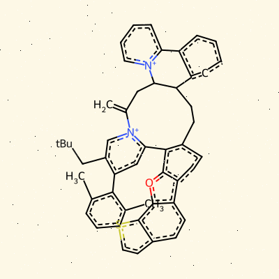 C=C1CC2C(CCc3ccc4c(oc5c4ccc4ccsc45)c3-c3cc(-c4c(C)cccc4C)c(CC(C)(C)C)c[n+]31)c1ccccc1-c1cccc[n+]12